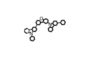 C1=CC2c3cc(-c4ccc5oc6ccc(-n7c8ccccc8c8cc(-c9ccccc9)ccc87)cc6c5c4)ccc3N(c3ccccc3)C2C=C1